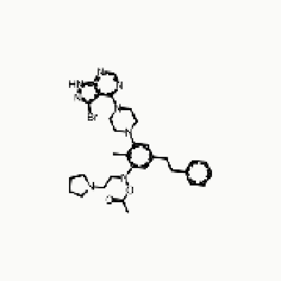 CC(=O)ON(CCN1CCCC1)c1cc(CCc2ccccc2)cc(N2CCN(c3ncnc4[nH]nc(Br)c34)CC2)c1C